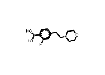 OB(O)c1ccc(CCN2CCOCC2)cc1F